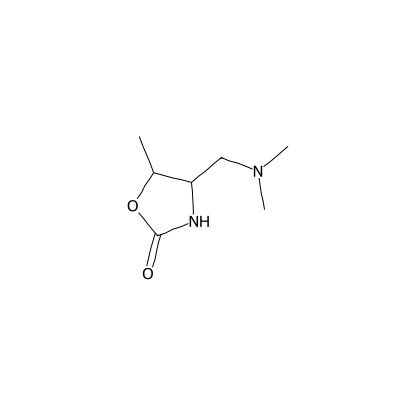 CC1OC(=O)NC1CN(C)C